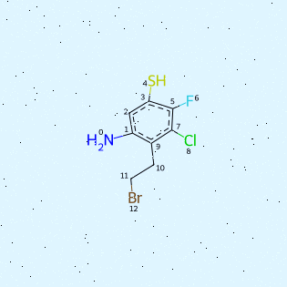 Nc1cc(S)c(F)c(Cl)c1CCBr